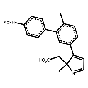 CC(=O)Nc1ccc(-c2cc(C3=CC=NC3(C)CC(=O)O)ccc2C)cc1